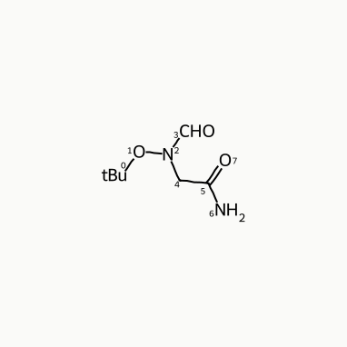 CC(C)(C)ON(C=O)CC(N)=O